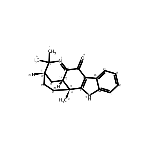 CC1(C)N=C2C(=O)c3c([nH]c4ccccc34)[C@]3(C)CC[C@H]1C[C@H]23